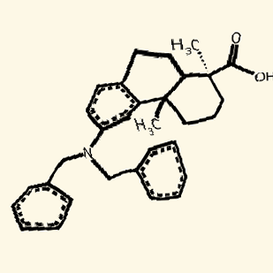 CC12CCC[C@](C)(C(=O)O)C1CCc1ccc(N(Cc3ccccc3)Cc3ccccc3)cc12